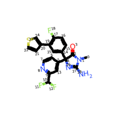 CN1C(=O)C(c2ccnc(C(F)F)c2)(c2ccc(F)c(-c3ccsc3)c2)N=C1N